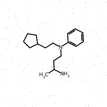 CC(N)CCN(CCC1CCCC1)c1ccccc1